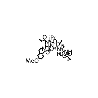 C=CC(=O)N[C@@H](C(=O)N1C[C@H](Oc2nccc3cc(OC)ccc23)C[C@H]1C(=O)N[C@]1(C(=O)NS(=O)(=O)C2CC2)C[C@H]1C=C)C(C)C